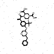 C=C(C(=O)N1CCN(C(=O)OC)CC1C(=O)O)c1ccc(SC2COCC(Cc3ccccc3)O2)c(C(F)(F)F)c1